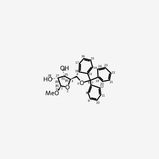 CO[C@@H]1O[C@H](COC(c2ccccc2)(c2ccccc2)c2ccccc2)[C@@H](O)[C@H]1O